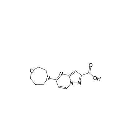 O=C(O)c1cc2nc(N3CCCOCC3)ccn2n1